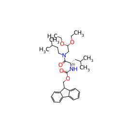 CCOC(CN(CCC(C)C)C(=O)[C@H](CC(C)C)NC(=O)OCC1c2ccccc2-c2ccccc21)OCC